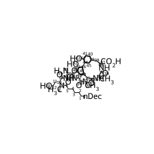 CCCCCCCCCCCCCCCC(=O)N(C)[C@H](CCO)C(=O)N[C@H](N)C(=O)NCC(=O)N(C)[C@@H]1C(=O)N[C@@H](C)C(=O)N[C@H](C(=O)O)Cc2ccc(O)c(c2)-c2cc1ccc2O